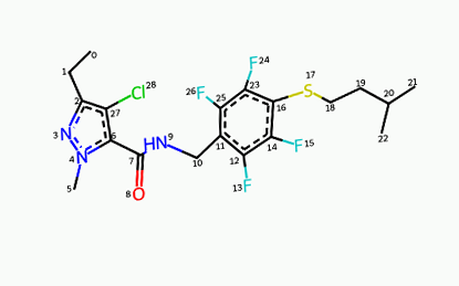 CCc1nn(C)c(C(=O)NCc2c(F)c(F)c(SCCC(C)C)c(F)c2F)c1Cl